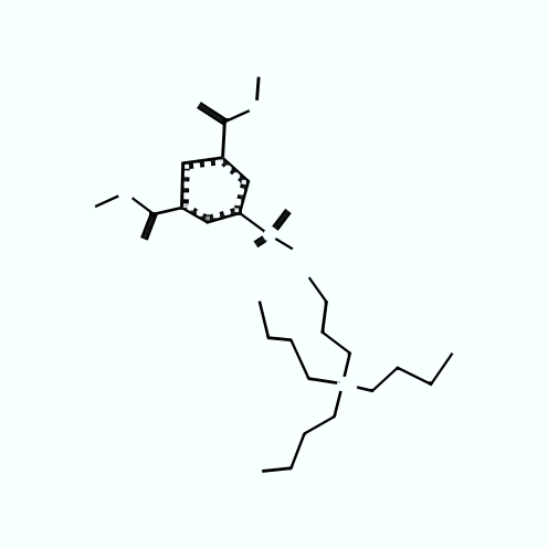 CCCC[PH](CCCC)(CCCC)CCCC.COC(=O)c1cc(C(=O)OC)cc(S(=O)(=O)O)c1